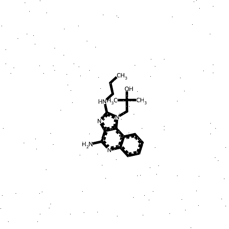 CCCNc1nc2c(N)nc3ccccc3c2n1CC(C)(C)O